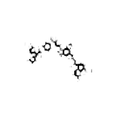 Cc1ccc([C@@](O)(C(=O)OC2CCC(N(C)CCCn3nnc4cc(CNC[C@H](O)c5ccc(O)c6[nH]c(=O)ccc56)c5c(c43)OCO5)CC2)c2cccs2)s1